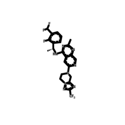 Cc1nc(N[C@H](C)c2cccc(C(F)F)c2F)c2cc(N3CCn4nc(C(F)(F)F)nc4C3)ncc2n1